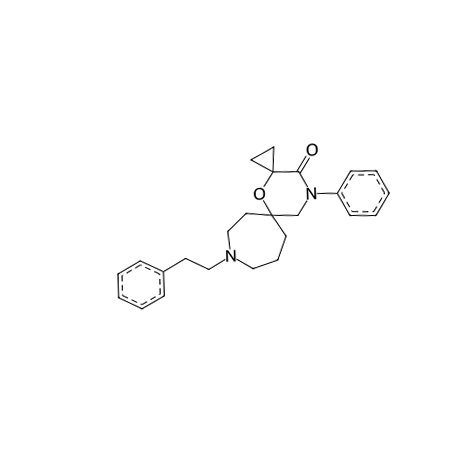 O=C1N(c2ccccc2)CC2(CCCN(CCc3ccccc3)CC2)OC12CC2